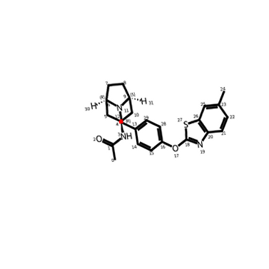 CC(=O)N[C@H]1C[C@H]2CC[C@@H](C1)N2Cc1ccc(Oc2nc3ccc(C)cc3s2)cc1